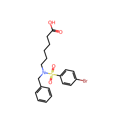 O=C(O)CCCCCN(Cc1ccccc1)S(=O)(=O)c1ccc(Br)cc1